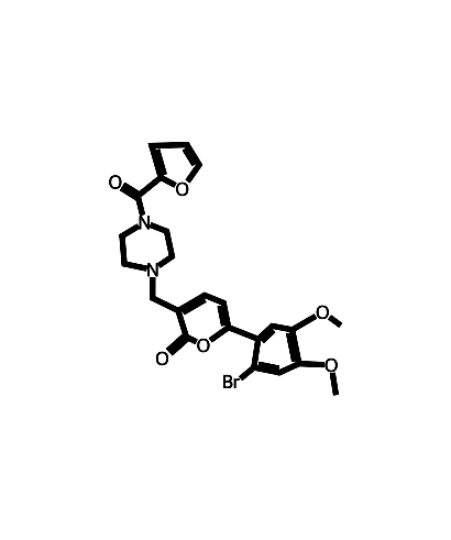 COc1cc(Br)c(-c2ccc(CN3CCN(C(=O)c4ccco4)CC3)c(=O)o2)cc1OC